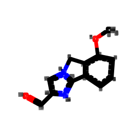 COc1cccc2c1Cn1cc(C=O)nc1-2